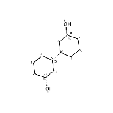 O[C@@H]1CCC[C@H](C2CCC[C@H](O)C2)C1